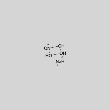 O=NO.OO.[NaH]